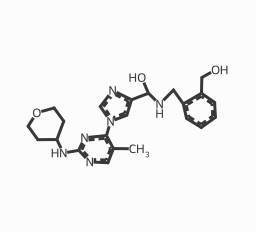 Cc1cnc(NC2CCOCC2)nc1-n1cnc(C(O)NCc2ccccc2CO)c1